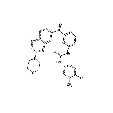 O=C(Nc1cccc(C(=O)c2ccc3ncc(N4CCOCC4)nc3c2)c1)Nc1ccc(Cl)c(C(F)(F)F)c1